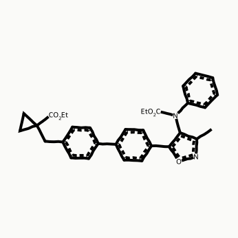 CCOC(=O)N(c1ccccc1)c1c(C)noc1-c1ccc(-c2ccc(CC3(C(=O)OCC)CC3)cc2)cc1